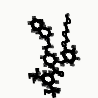 COCCOCOc1cc(C[C@@H]2CN(CCN3CCc4ncccc4C3)CCN2C(=O)c2cc(C(F)(F)F)cc(C(F)(F)F)c2)ccc1C